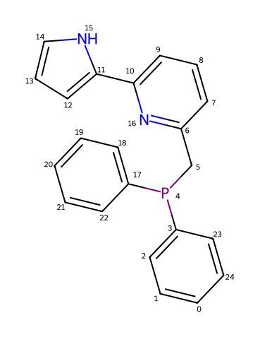 c1ccc(P(Cc2cccc(-c3ccc[nH]3)n2)c2ccccc2)cc1